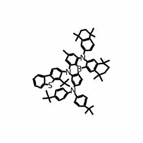 Cc1cc2c3c(c1)N(c1ccc4c(sc5ccccc54)c1C(C)(C)C)c1cc(N(c4ccc(C(C)(C)C)cc4)c4ccc(C(C)(C)C)cc4)ccc1B3c1cc3c(cc1N2c1ccc2c(c1)C(C)(C)CCC2(C)C)C(C)(C)CCC3(C)C